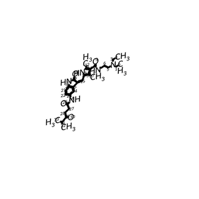 CCN(CC)CCNC(=O)c1c(C)[nH]c(/C=C2\C(=O)Nc3ccc(NC(=O)CCC(=O)C(C)C)cc32)c1C